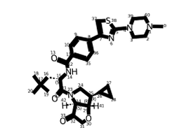 CN1CCN(c2nc(-c3ccc(C(=O)N[C@@H](CC(C)(C)C)C(=O)N4C[C@@H](C5CC5)[C@H]5OCC(=O)[C@H]54)cc3)cs2)CC1